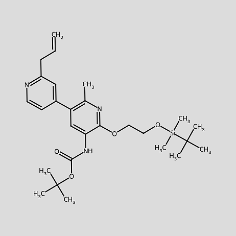 C=CCc1cc(-c2cc(NC(=O)OC(C)(C)C)c(OCCO[Si](C)(C)C(C)(C)C)nc2C)ccn1